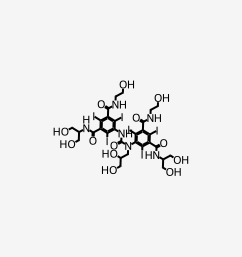 O=C(NCCO)c1c(I)c(NC(=O)N(CC(O)CO)c2c(I)c(C(=O)NCCO)c(I)c(C(=O)NC(CO)CO)c2I)c(I)c(C(=O)NC(CO)CO)c1I